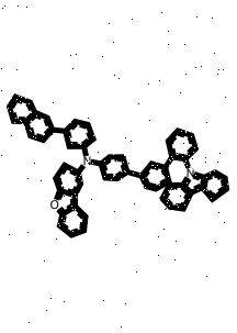 c1cc(-c2ccc(N(c3cccc(-c4ccc5ccccc5c4)c3)c3ccc4oc5ccccc5c4c3)cc2)cc(-c2ccccc2-n2c3ccccc3c3ccccc32)c1